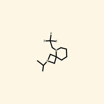 CC(C)N1CC2(CCCCN2CC(F)(F)F)C1